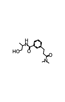 CC(CO)NC(=O)c1cccc(CCC(=O)N(C)C)c1